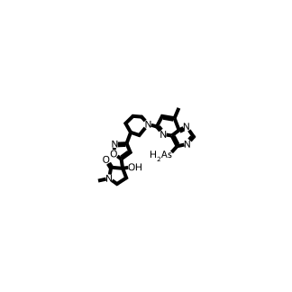 Cc1cc(N2CCCC(c3cc(C4(O)CCN(C)C4=O)on3)C2)nc2c([AsH2])ncnc12